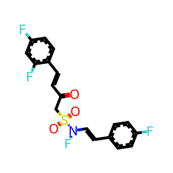 O=C(C=Cc1ccc(F)cc1F)CS(=O)(=O)N(F)C=Cc1ccc(F)cc1